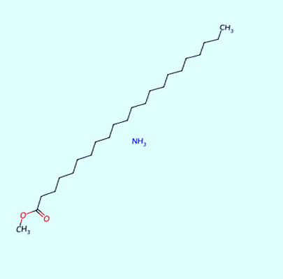 CCCCCCCCCCCCCCCCCCCCCC(=O)OC.N